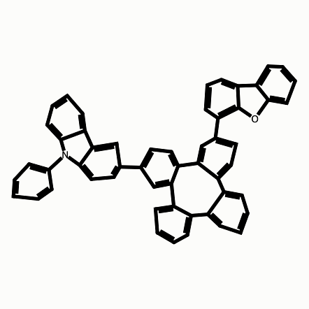 c1ccc(-n2c3ccccc3c3cc(-c4ccc5c(c4)-c4ccccc4-c4ccccc4-c4ccc(-c6cccc7c6oc6ccccc67)cc4-5)ccc32)cc1